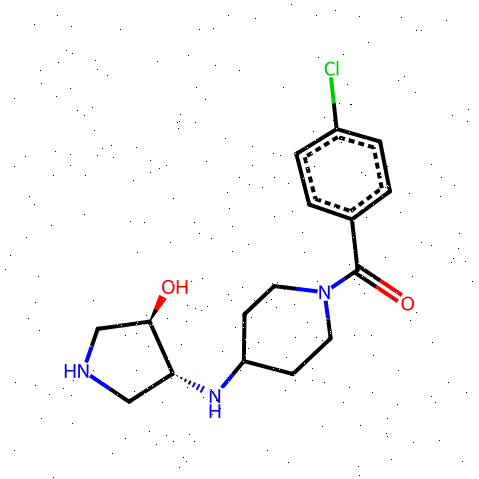 O=C(c1ccc(Cl)cc1)N1CCC(N[C@@H]2CNC[C@H]2O)CC1